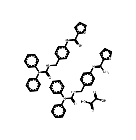 N=C(Nc1ccc(CNC(=O)N(c2ccccc2)c2ccccc2)cc1)c1cccs1.NC(=Nc1ccc(CNC(=O)N(c2ccccc2)c2ccccc2)cc1)c1cccs1.O=C(O)C(=O)O